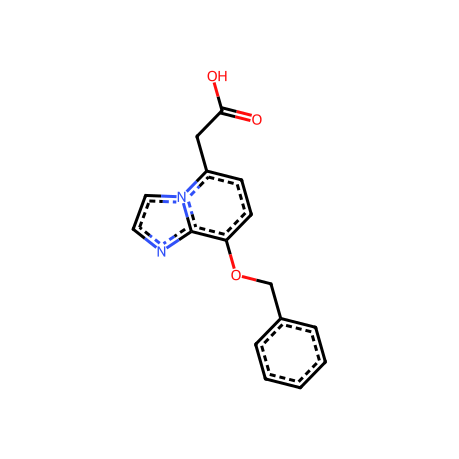 O=C(O)Cc1ccc(OCc2ccccc2)c2nccn12